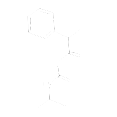 CC(C)NC(=O)OC(=O)C(O)c1ccccc1